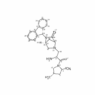 CC1CC(C#N)N(C(=O)C(N)CN2C[C@@H]3CC2C(=O)N3C2c3ccccc3-c3ccccc32)C1